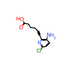 Nc1ccc(Cl)nc1C#CCCCC(=O)O